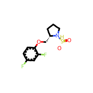 O=[SH](=O)N1CCC[C@H]1COc1ccc(F)cc1F